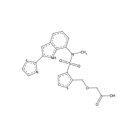 CN(c1cccc2cc(-c3nccs3)[nH]c12)S(=O)(=O)c1ccsc1COCC(=O)O